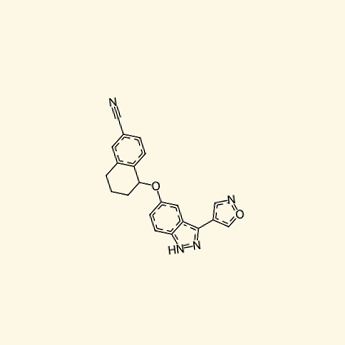 N#Cc1ccc2c(c1)CCCC2Oc1ccc2[nH]nc(-c3cnoc3)c2c1